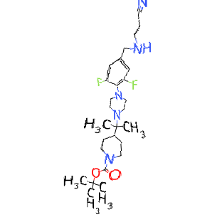 CC(C)(C)OC(=O)N1CCC(C(C)(C)N2CCN(c3c(F)cc(CNCCC#N)cc3F)CC2)CC1